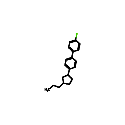 CCCC1CCC(c2ccc(-c3ccc(F)cc3)cc2)C1